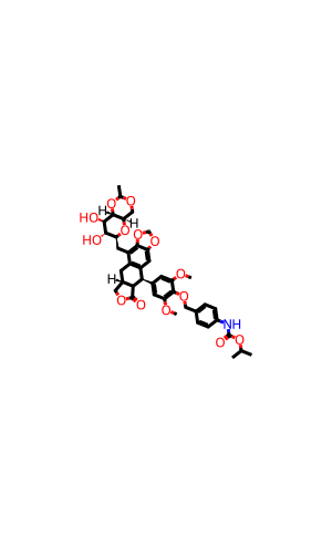 COc1cc([C@@H]2c3cc4c(c(C[C@@H]5O[C@@H]6COC(C)O[C@H]6[C@H](O)[C@H]5O)c3C[C@H]3COC(=O)C32)OCO4)cc(OC)c1OCc1ccc(NC(=O)OC(C)C)cc1